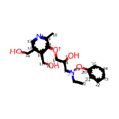 CCN(CC(O)COc1c(C)ncc(CO)c1CO)Oc1ccccc1